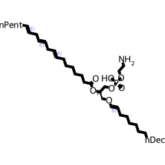 CCCCC/C=C/C/C=C/C/C=C/CCCCCCC(=O)O[C@H](CO/C=C/CCCCCCCCCCCCCCCC)COP(=O)(O)OCCN